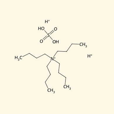 CCCC[N+](CCCC)(CCCC)CCCC.O=S(=O)(O)O.[H+].[H+]